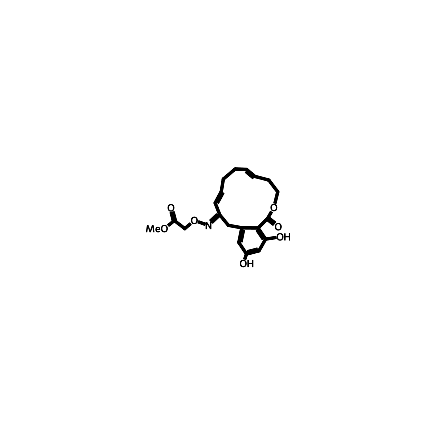 COC(=O)CO/N=C1\C=C\CC/C=C/CCOC(=O)c2c(O)cc(O)cc2C1